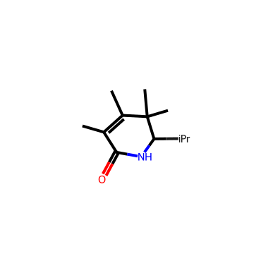 CC1=C(C)C(C)(C)C(C(C)C)NC1=O